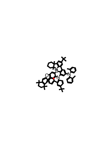 Cc1ccccc1N(c1cc2c3c(c1)N(c1ccc(C(C)(C)C)cc1-c1ccccc1)c1cc4c(cc1B3N1c3c-2cc(C(C)(C)C)cc3C2(C)CCCCC12C)oc1cc2c(cc14)C(C)(C)CCC2(C)C)c1ccccc1C